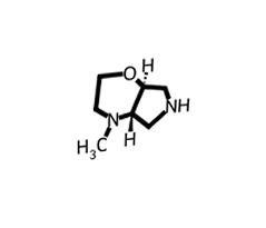 CN1CCO[C@H]2CNC[C@@H]21